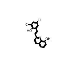 Oc1c(Cl)cc(Cl)cc1C=Cc1ccc2cccc(O)c2n1